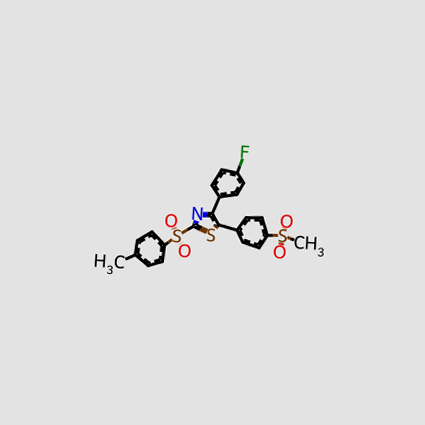 Cc1ccc(S(=O)(=O)c2nc(-c3ccc(F)cc3)c(-c3ccc(S(C)(=O)=O)cc3)s2)cc1